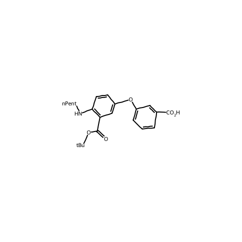 CCCCCNc1ccc(Oc2cccc(C(=O)O)c2)cc1C(=O)OC(C)(C)C